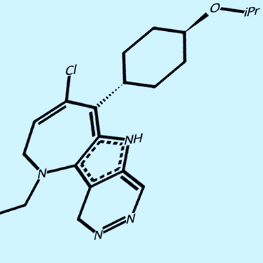 CC(C)O[C@H]1CC[C@H](C2=c3[nH]c4c(c3N(CCO)CC=C2Cl)CN=NC=4)CC1